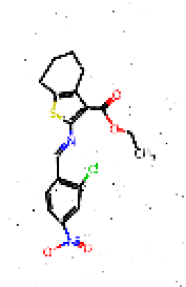 CCOC(=O)c1c(N=Cc2ccc([N+](=O)[O-])cc2Cl)sc2c1CCCC2